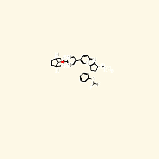 CO[C@@H]1C[C@H](c2ccccc2OC(F)F)c2c1nc1ccc(-c3cnc(N4C[C@H]5CC[C@@H](C4)C5C(=O)O)nc3)cn21